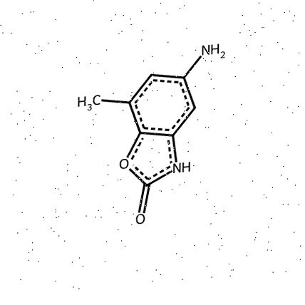 Cc1cc(N)cc2[nH]c(=O)oc12